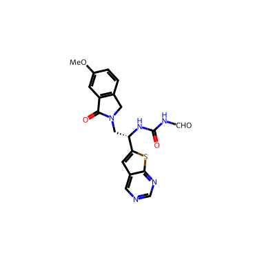 COc1ccc2c(c1)C(=O)N(C[C@H](NC(=O)NC=O)c1cc3cncnc3s1)C2